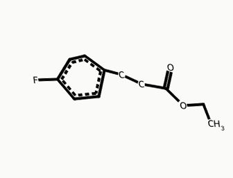 CCOC(=O)CCc1ccc(F)cc1